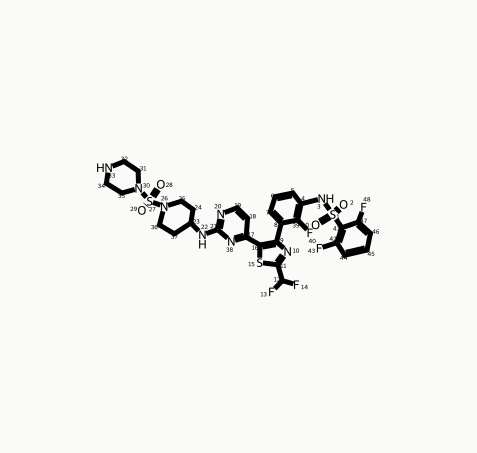 O=S(=O)(Nc1cccc(-c2nc(C(F)F)sc2-c2ccnc(NC3CCN(S(=O)(=O)N4CCNCC4)CC3)n2)c1F)c1c(F)cccc1F